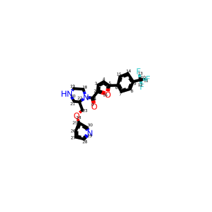 O=C(c1ccc(-c2ccc(C(F)(F)F)cc2)o1)N1CCNCC1COc1cccnc1